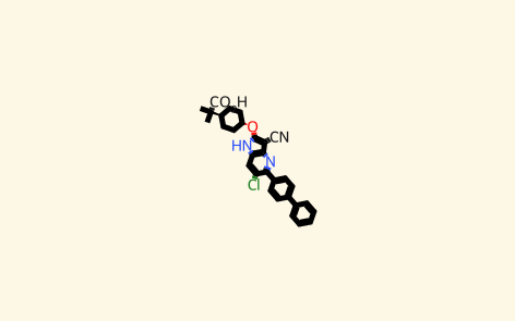 CC(C)(C(=O)O)[C@H]1CC[C@H](Oc2[nH]c3cc(Cl)c(-c4ccc(-c5ccccc5)cc4)nc3c2C#N)CC1